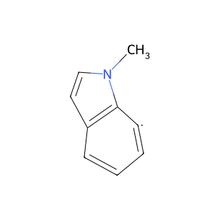 Cn1ccc2ccc[c]c21